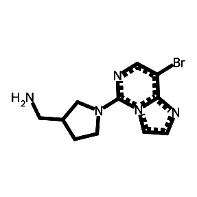 NCC1CCN(c2ncc(Br)c3nccn23)C1